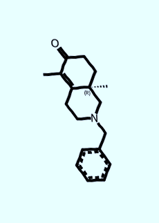 CC1=C2CCN(Cc3ccccc3)C[C@]2(C)CCC1=O